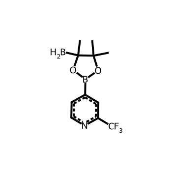 BC1(C)OB(c2ccnc(C(F)(F)F)c2)OC1(C)C